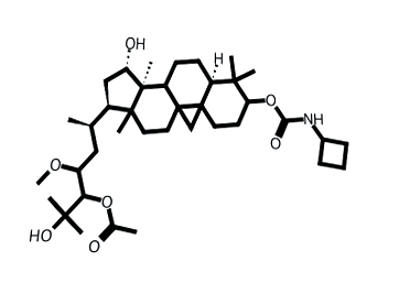 COC(C[C@@H](C)[C@H]1C[C@H](O)[C@@]2(C)C3CC[C@H]4C(C)(C)C(OC(=O)NC5CCC5)CCC45CC35CCC12C)C(OC(C)=O)C(C)(C)O